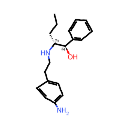 CCC[C@@H](NCCc1ccc(N)cc1)[C@H](O)c1ccccc1